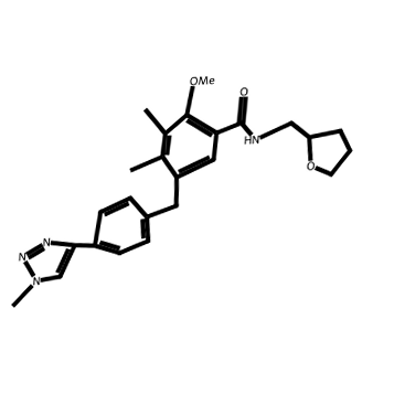 COc1c(C(=O)NCC2CCCO2)cc(Cc2ccc(-c3cn(C)nn3)cc2)c(C)c1C